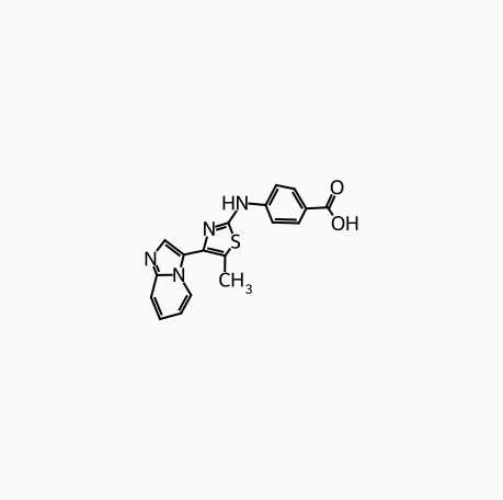 Cc1sc(Nc2ccc(C(=O)O)cc2)nc1-c1cnc2ccccn12